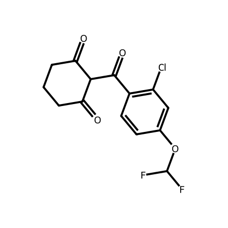 O=C1CCCC(=O)C1C(=O)c1ccc(OC(F)F)cc1Cl